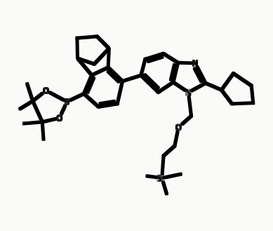 CC1(C)OB(c2ccc(-c3ccc4nc(C5CCCC5)n(COCC[Si](C)(C)C)c4c3)c3c2C2CCC3C2)OC1(C)C